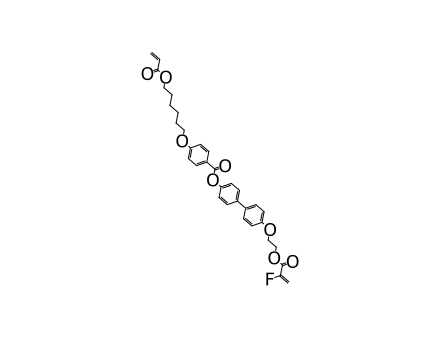 C=CC(=O)OCCCCCCOc1ccc(C(=O)Oc2ccc(-c3ccc(OCCOC(=O)C(=C)F)cc3)cc2)cc1